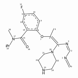 C=N/C=N\C(=C(/C)Oc1ccc(F)cc1C(=O)N(C)C(C)C)N1CCNCC1